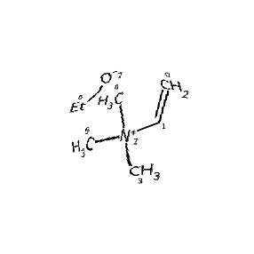 C=C[N+](C)(C)C.CC[O-]